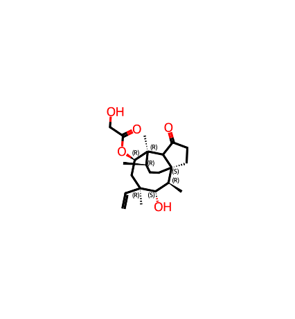 C=C[C@@]1(C)C[C@@H](OC(=O)CO)[C@@]2(C)C3C(=O)CC[C@@]3(CC[C@H]2C)[C@@H](C)[C@@H]1O